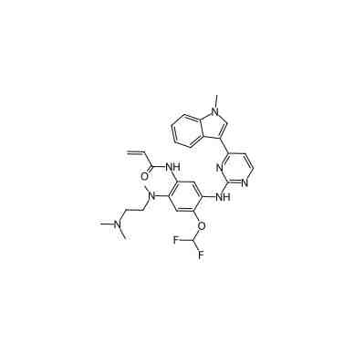 C=CC(=O)Nc1cc(Nc2nccc(-c3cn(C)c4ccccc34)n2)c(OC(F)F)cc1N(C)CCN(C)C